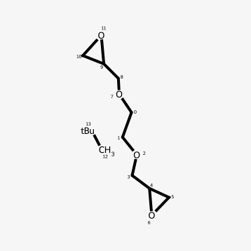 C(COCC1CO1)OCC1CO1.CC(C)(C)C